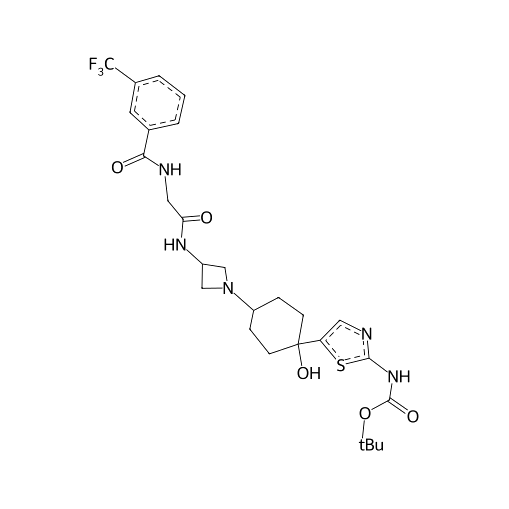 CC(C)(C)OC(=O)Nc1ncc(C2(O)CCC(N3CC(NC(=O)CNC(=O)c4cccc(C(F)(F)F)c4)C3)CC2)s1